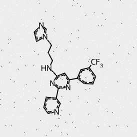 FC(F)(F)c1cccc(-c2cc(NCCCn3ccnc3)nc(-c3cccnc3)n2)c1